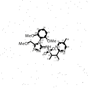 COCc1nnc(NS(=O)(=O)C(C)C(C)c2ncc(C)cn2)n1-c1c(OC)cccc1OC